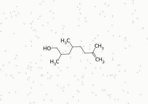 C=C(C)CCC(C)CC(C)CO